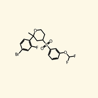 CC1(c2ccc(Br)cc2F)CC(S(=O)(=O)c2cccc(OC(F)F)c2)CCO1